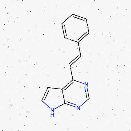 C(=Cc1ncnc2[nH]ccc12)c1ccccc1